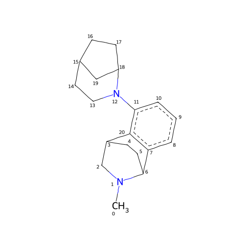 CN1CC2CCC1c1cccc(N3CCC4CCC3C4)c12